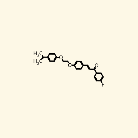 C=C(C)c1ccc(OCCOc2ccc(C=CC(=O)c3ccc(F)cc3)cc2)cc1